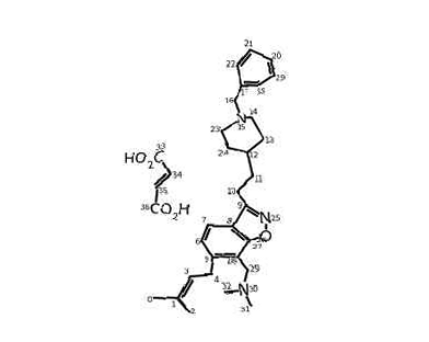 CC(C)=CCc1ccc2c(CCC3CCN(Cc4ccccc4)CC3)noc2c1CN(C)C.O=C(O)C=CC(=O)O